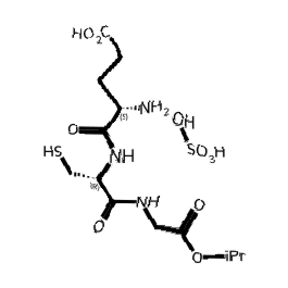 CC(C)OC(=O)CNC(=O)[C@H](CS)NC(=O)[C@@H](N)CCC(=O)O.O=S(=O)(O)O